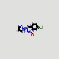 [O-][N+]1=c2cc(Cl)ccc2=CN(n2cccn2)N1